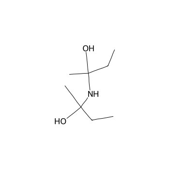 CCC(C)(O)NC(C)(O)CC